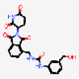 O=C1CCC(N2C(=O)c3cccc(CNC(=O)Nc4cccc(CO)c4)c3C2=O)C(=O)N1